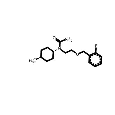 C[C@H]1CC[C@H](N(CCOCc2ccccc2F)C(N)=O)CC1